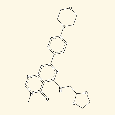 Cn1cnc2cc(-c3ccc(N4CCOCC4)cc3)nc(NCC3OCCO3)c2c1=O